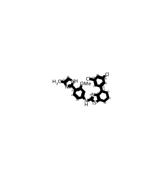 COc1cc(Nc2nc3c(s2)CCCC3c2cc(Cl)cc(Cl)c2)ccc1-c1nc(C)c[nH]1